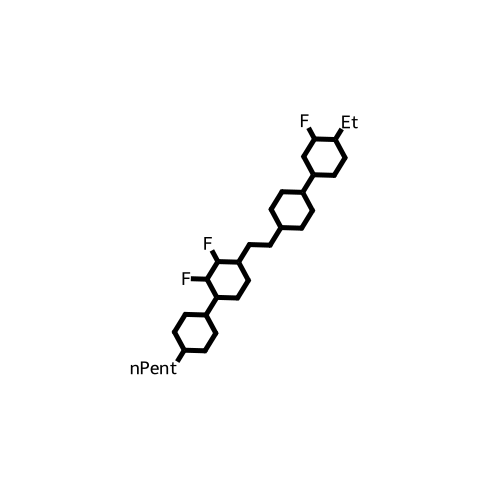 CCCCCC1CCC(C2CCC(CCC3CCC(C4CCC(CC)C(F)C4)CC3)C(F)C2F)CC1